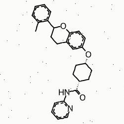 Cc1ccccc1C1CCc2cc(O[C@H]3CC[C@@H](C(=O)Nc4ccccn4)CC3)ccc2O1